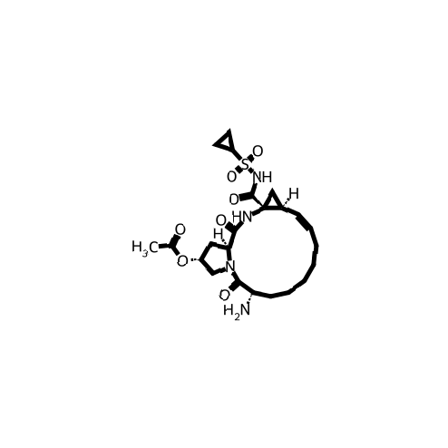 CC(=O)O[C@@H]1C[C@H]2C(=O)N[C@]3(C(=O)NS(=O)(=O)C4CC4)C[C@H]3/C=C\CCCCC[C@H](N)C(=O)N2C1